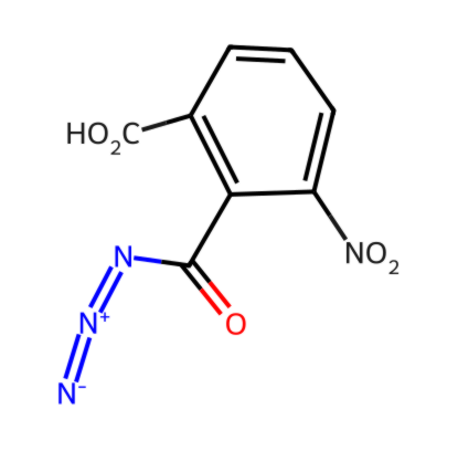 [N-]=[N+]=NC(=O)c1c(C(=O)O)cccc1[N+](=O)[O-]